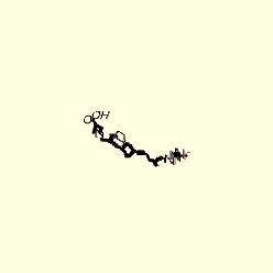 CC(CCC#Cc1ccc2c(c1)OCC(CN1CC(C(=O)O)C1)=C2)CN=[N+]=[N-]